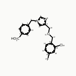 O=C(O)c1ccc(Cn2cnc(COCc3ccc(F)cc3Cl)c2)cc1